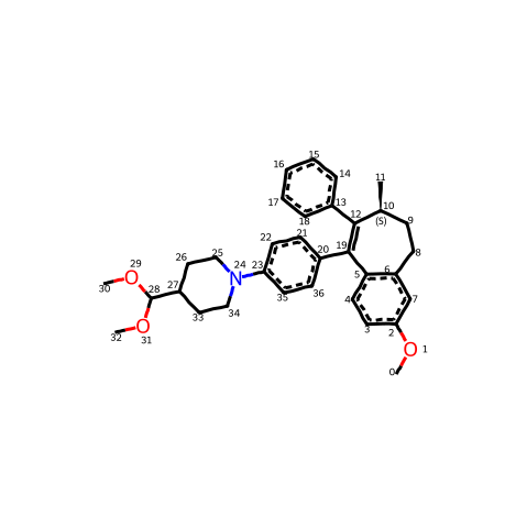 COc1ccc2c(c1)CC[C@H](C)C(c1ccccc1)=C2c1ccc(N2CCC(C(OC)OC)CC2)cc1